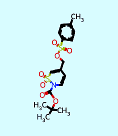 Cc1ccc(S(=O)(=O)OCC2=CS(=O)(=O)N(C(=O)OC(C)(C)C)C=C2)cc1